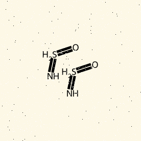 N=[SH2]=O.N=[SH2]=O